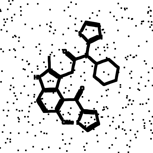 COc1ccc2[nH]c(C)c(CC(=O)N(c3nccs3)C3CCCCC3)c2c1C(=O)c1cccs1